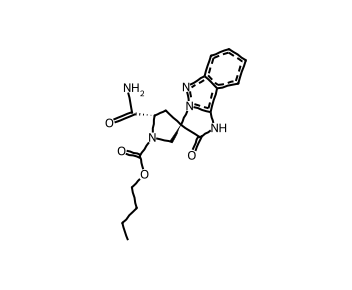 CCCCOC(=O)N1C[C@]2(C[C@H]1C(N)=O)C(=O)Nc1c3ccccc3nn12